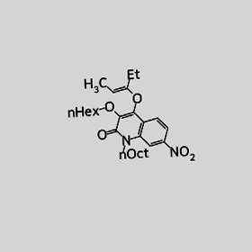 CC=C(CC)Oc1c(OCCCCCC)c(=O)n(CCCCCCCC)c2cc([N+](=O)[O-])ccc12